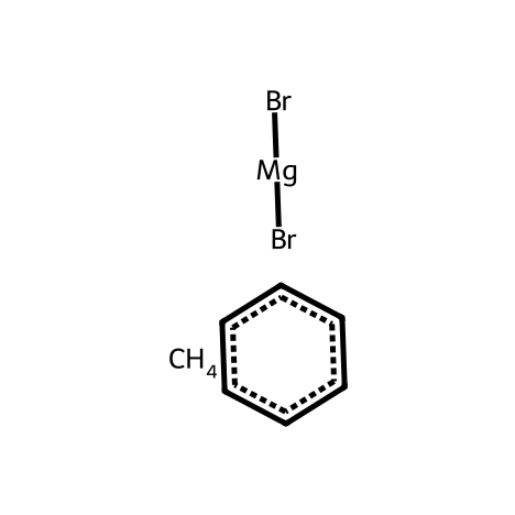 C.[Br][Mg][Br].c1ccccc1